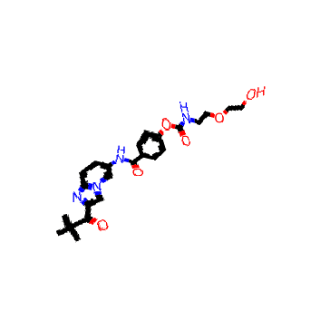 CC(C)(C)C(=O)c1cn2cc(NC(=O)c3ccc(OC(=O)NCCOCCO)cc3)ccc2n1